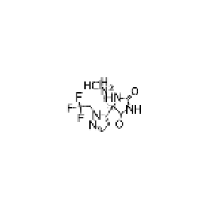 Cl.NC[C@]1(c2ccnn2CC(F)(F)F)NC(=O)NC1=O